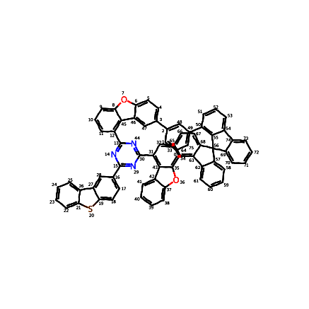 c1cc(-c2ccc3oc4cccc(-c5nc(-c6ccc7sc8ccccc8c7c6)nc(-c6cccc7oc8ccccc8c67)n5)c4c3c2)cc(-c2cccc3c2C2(c4ccccc4-c4ccccc42)c2ccccc2-3)c1